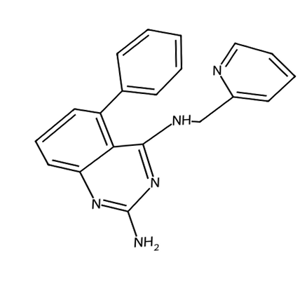 Nc1nc(NCc2ccccn2)c2c(-c3ccccc3)cccc2n1